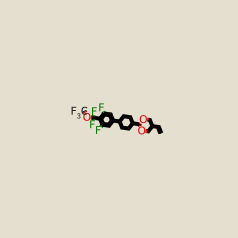 C=CC1COC(C2CCC(c3cc(F)c(C(F)(F)OC(F)(F)F)c(F)c3)CC2)OC1